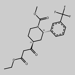 CCOC(=O)CC(=O)[C@H]1CCN(C(=O)OC)[C@H](c2cccc(C(F)(F)F)c2)C1